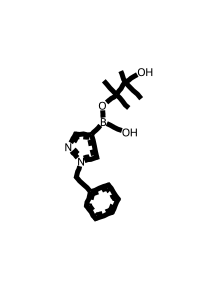 CC(C)(O)C(C)(C)OB(O)c1cnn(Cc2ccccc2)c1